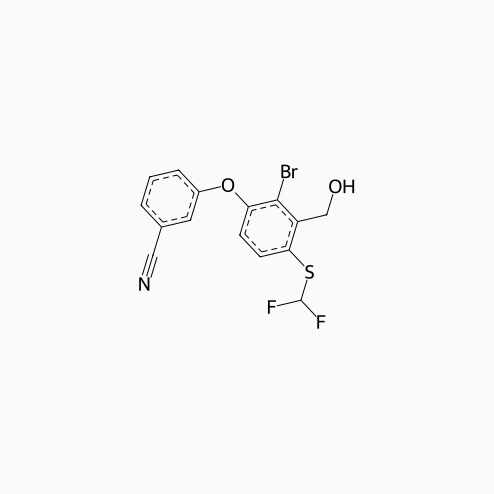 N#Cc1cccc(Oc2ccc(SC(F)F)c(CO)c2Br)c1